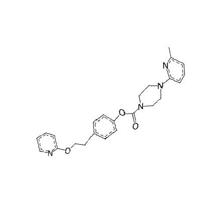 Cc1cccc(N2CCN(C(=O)Oc3ccc(CCOc4ccccn4)cc3)CC2)n1